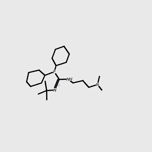 CN(C)CCCN/C(=N/C(C)(C)C)P(C1CCCCC1)C1CCCCC1